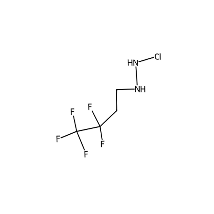 FC(F)(F)C(F)(F)CCNNCl